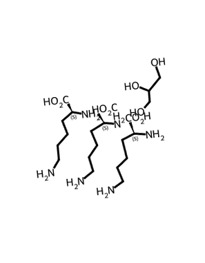 NCCCC[C@H](N)C(=O)O.NCCCC[C@H](N)C(=O)O.NCCCC[C@H](N)C(=O)O.OCC(O)CO